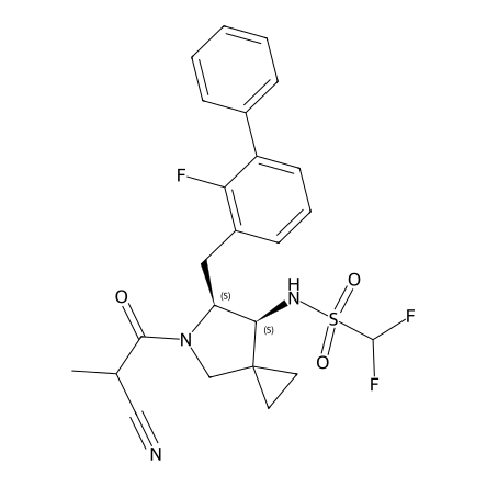 CC(C#N)C(=O)N1CC2(CC2)[C@H](NS(=O)(=O)C(F)F)[C@@H]1Cc1cccc(-c2ccccc2)c1F